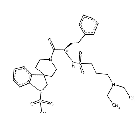 CCN(CC)CCCS(=O)(=O)N[C@H](CCc1ccccc1)C(=O)N1CCC2(CC1)CN(S(C)(=O)=O)c1ccccc12